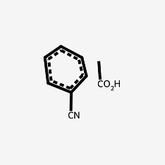 CC(=O)O.N#Cc1ccccc1